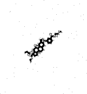 CCC(=O)O[C@]1(C(=O)SCF)CCC2[C@@H]3CCC4=Cc5c(cnn5-c5cccc(C(=O)NCCSC)c5)C[C@]4(C)C3[C@@H](O)C[C@@]21C